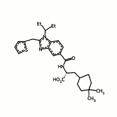 CCC(CC)n1c(Cc2cccs2)nc2cc(C(=O)N[C@H](CC3CCC(C)(C)CC3)C(=O)O)ccc21